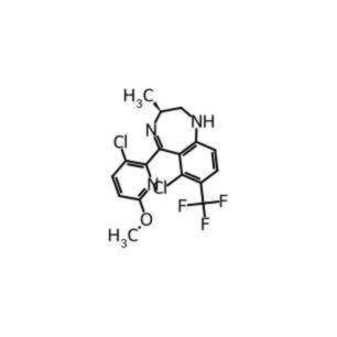 COc1ccc(Cl)c(C2=N[C@@H](C)CNc3ccc(C(F)(F)F)c(Cl)c32)n1